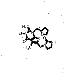 C=C1N(CC)C(=O)c2c(sc(CN3CCNC3=O)c2C)N1CC1CCCO1